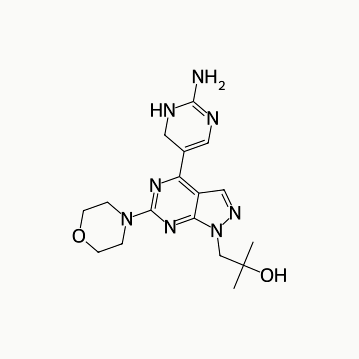 CC(C)(O)Cn1ncc2c(C3=CN=C(N)NC3)nc(N3CCOCC3)nc21